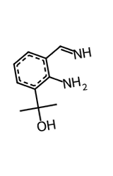 CC(C)(O)c1cccc(C=N)c1N